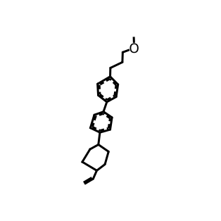 C=CC1CCC(c2ccc(-c3ccc(CCCOC)cc3)cc2)CC1